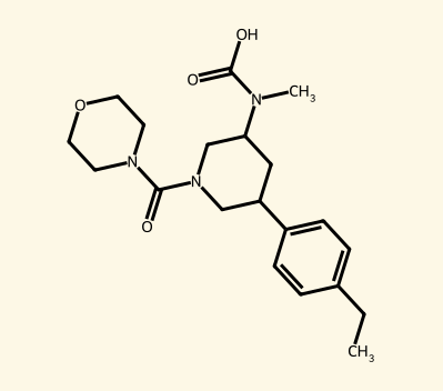 CCc1ccc(C2CC(N(C)C(=O)O)CN(C(=O)N3CCOCC3)C2)cc1